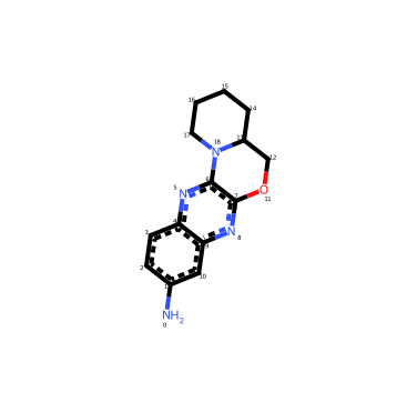 Nc1ccc2nc3c(nc2c1)OCC1CCCCN31